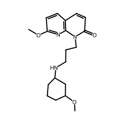 COc1ccc2ccc(=O)n(CCCNC3CCCC(OC)C3)c2n1